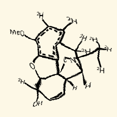 [2H]c1c([2H])c2c3c(c1OC)OC1C([2H])(O)C=C[C@H]4[C@H](N(C([2H])([2H])[2H])CC[C@]314)C2([2H])[2H]